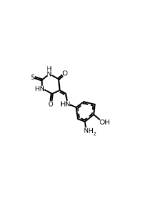 Nc1cc(NC=C2C(=O)NC(=S)NC2=O)ccc1O